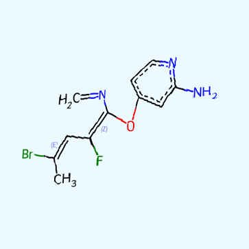 C=N/C(Oc1ccnc(N)c1)=C(F)\C=C(/C)Br